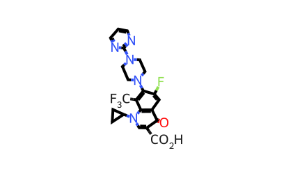 O=C(O)c1cn(C2CC2)c2c(C(F)(F)F)c(N3CCN(c4ncccn4)CC3)c(F)cc2c1=O